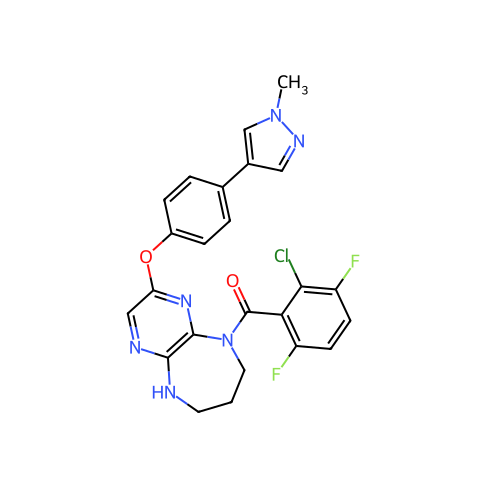 Cn1cc(-c2ccc(Oc3cnc4c(n3)N(C(=O)c3c(F)ccc(F)c3Cl)CCCN4)cc2)cn1